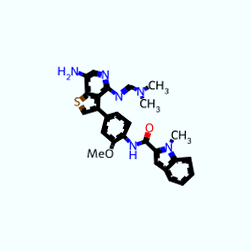 COc1cc(-c2csc3c(N)cnc(N=CN(C)C)c23)ccc1NC(=O)c1cc2ccccc2n1C